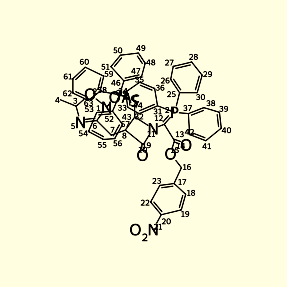 CC(=O)ON1OC(C)N=C1CC1C(=O)N(C(C(=O)OCc2ccc([N+](=O)[O-])cc2)=P(c2ccccc2)(c2ccccc2)c2ccccc2)C1SC(c1ccccc1)(c1ccccc1)c1ccccc1